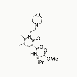 COC(=O)[C@@H](NC(=O)c1cc(C)c(C)n(CCN2CCOCC2)c1=O)C(C)C